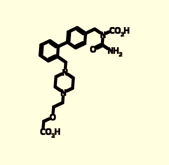 NC(=O)N(Cc1ccc(-c2ccccc2CN2CCN(CCOCC(=O)O)CC2)cc1)C(=O)O